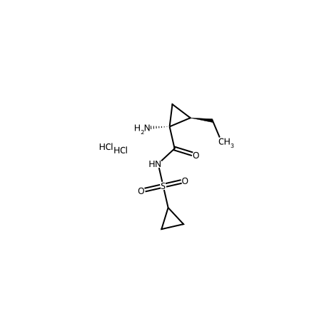 CC[C@@H]1C[C@]1(N)C(=O)NS(=O)(=O)C1CC1.Cl.Cl